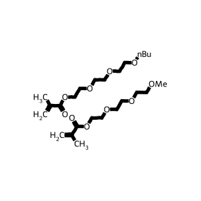 C=C(C)C(=O)OCCOCCOCCOC.C=C(C)C(=O)OCCOCCOCCOCCCC